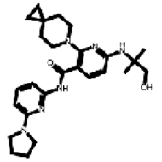 CC(C)(CO)Nc1ccc(C(=O)Nc2cccc(N3CCCC3)n2)c(N2CCC3(CC2)CC3)n1